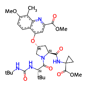 COC(=O)c1cc(O[C@@H]2C[C@@H](C(=O)NC3(C(=O)OC)CC3)N(C(=O)[C@@H](NC(=O)NC(C)(C)C)C(C)(C)C)C2)c2ccc(OC)c(C)c2n1